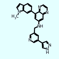 Cn1ccc2ccc(-c3cc(NCc4cncc(-c5cn[nH]c5)c4)cc4nccnc34)cc21